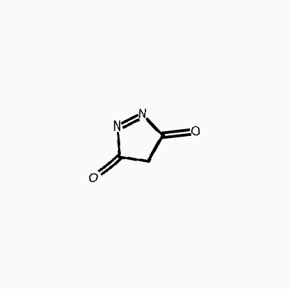 O=C1CC(=O)N=N1